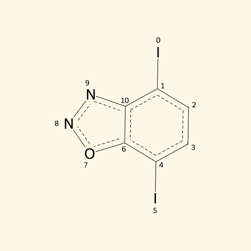 Ic1ccc(I)c2onnc12